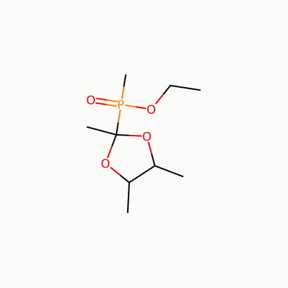 CCOP(C)(=O)C1(C)OC(C)C(C)O1